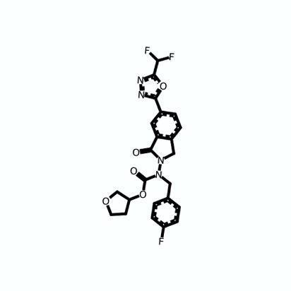 O=C(OC1CCOC1)N(Cc1ccc(F)cc1)N1Cc2ccc(-c3nnc(C(F)F)o3)cc2C1=O